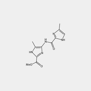 COC(=O)c1nc(NC(=O)c2nc(C)c[nH]2)c(C)[nH]1